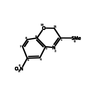 CSC1=Nc2cc([N+](=O)[O-])ccc2OC1